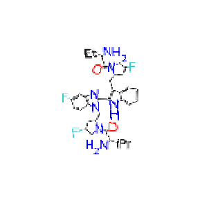 CCC(N)C(=O)N1C[C@@H](F)C[C@H]1Cc1c(-c2nc3cc(F)ccc3n2C[C@@H]2C[C@H](F)CN2C(=O)C(N)C(C)C)[nH]c2ccccc12